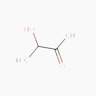 [CH2]C(=O)C(C)O